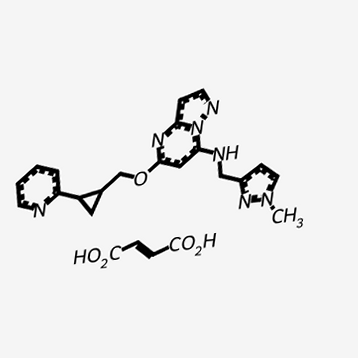 Cn1ccc(CNc2cc(OCC3CC3c3ccccn3)nc3ccnn23)n1.O=C(O)C=CC(=O)O